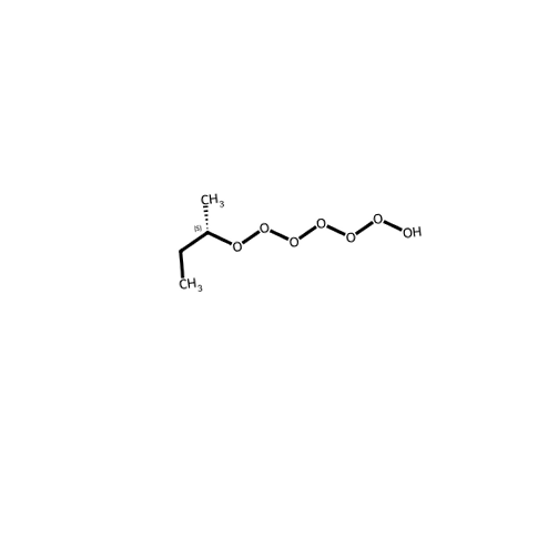 CC[C@H](C)OOOOOOO